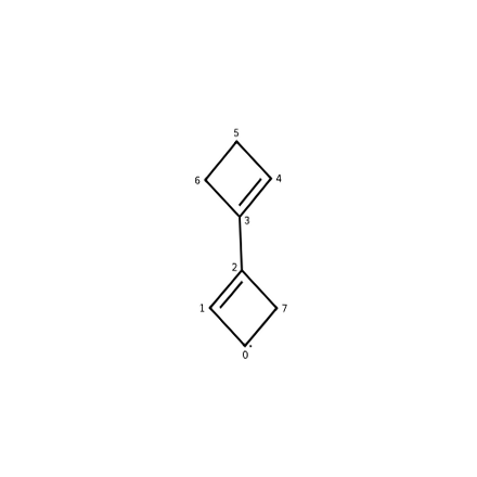 [CH]1C=C(C2=CCC2)C1